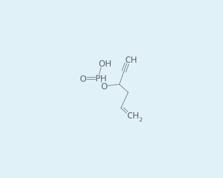 C#CC(CC=C)O[PH](=O)O